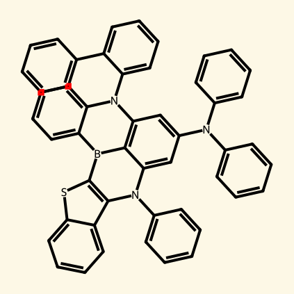 c1ccc(-c2ccccc2N2c3ccccc3B3c4sc5ccccc5c4N(c4ccccc4)c4cc(N(c5ccccc5)c5ccccc5)cc2c43)cc1